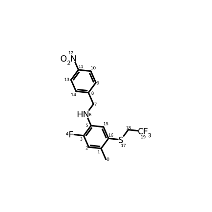 Cc1cc(F)c(NCc2ccc([N+](=O)[O-])cc2)cc1SCC(F)(F)F